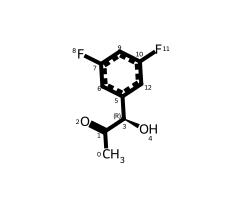 CC(=O)[C@H](O)c1cc(F)cc(F)c1